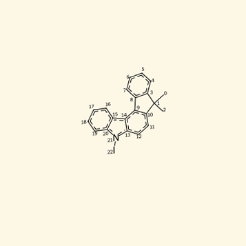 CC1(C)c2ccccc2-c2c1ccc1c2c2ccccc2n1I